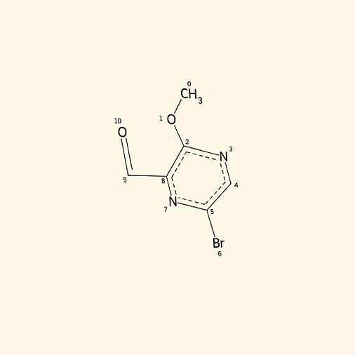 COc1ncc(Br)nc1C=O